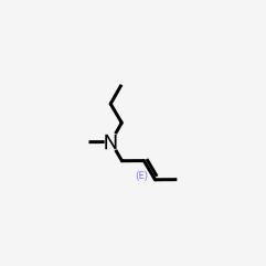 C/C=C/CN(C)CCC